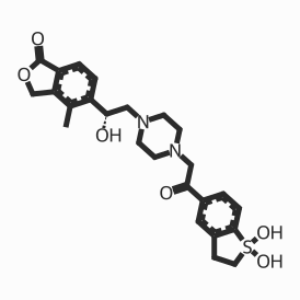 Cc1c([C@@H](O)CN2CCN(CC(=O)c3ccc4c(c3)CCS4(O)O)CC2)ccc2c1COC2=O